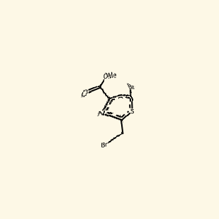 COC(=O)c1nc(CBr)sc1Br